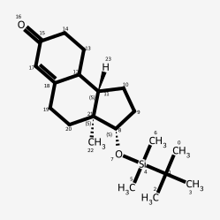 CC(C)(C)[Si](C)(C)O[C@H]1CC[C@H]2C3CCC(=O)C=C3CC[C@]12C